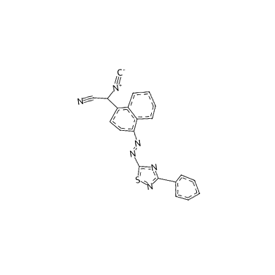 [C-]#[N+]C(C#N)c1ccc(N=Nc2nc(-c3ccccc3)ns2)c2ccccc12